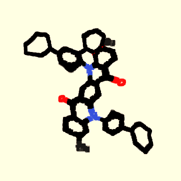 CC(C)(C)c1ccc2c(=O)c3cc4c(cc3n(-c3ccc(C5CCCCC5)cc3)c2c1)c(=O)c1ccc(C(C)(C)C)cc1n4-c1ccc(C2CCCCC2)cc1C1CCCCC1